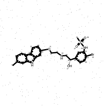 Cc1ccc2c(c1)[nH]c1cc(OCCNC[C@@H](O)c3ccc(Br)c(NS(C)(=O)=O)c3)ccc12